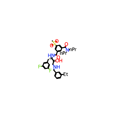 CCCN(CCC)C(=O)c1cc(C(=O)N[C@@H](Cc2cc(F)cc(F)c2)[C@H](O)CNCc2cccc(CC)c2)cc(S(C)(=O)=O)c1